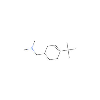 CN(C)CC1CC=C(C(C)(C)C)CC1